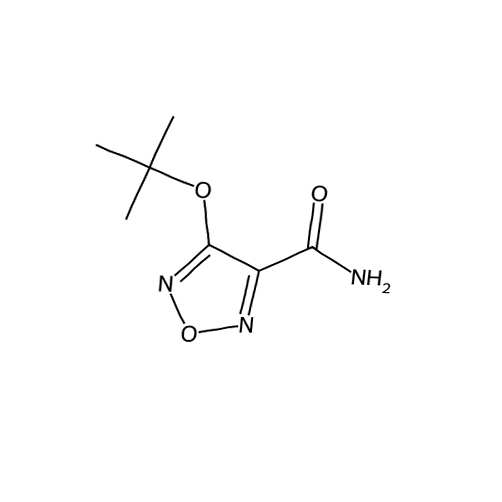 CC(C)(C)Oc1nonc1C(N)=O